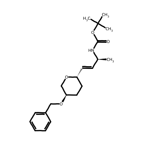 C[C@@H](/C=C/[C@@H]1CC[C@@H](OCc2ccccc2)CO1)NC(=O)OC(C)(C)C